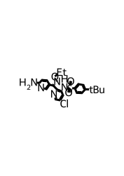 CCO/N=C(\c1ccc(N)nc1)c1ncc(Cl)cc1NS(=O)(=O)c1ccc(C(C)(C)C)cc1